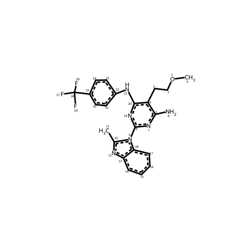 COCCc1c(N)nc(-n2c(C)nc3ccccc32)nc1Nc1ccc(C(F)(F)F)cc1